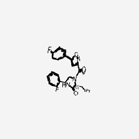 CC(C)C[C@H]1C(=O)N[C@@H](c2ccccc2F)CN1C(=O)c1cc(-c2ccc(F)cc2)on1